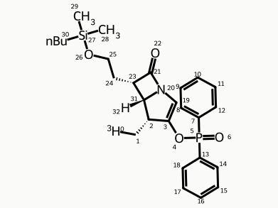 [3H]C[C@H]1C(OP(=O)(c2ccccc2)c2ccccc2)=CN2C(=O)[C@@H](CCO[Si](C)(C)CCCC)[C@@H]12